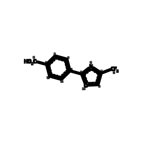 O=C(O)c1ccc(-c2nc(C(F)(F)F)co2)cc1